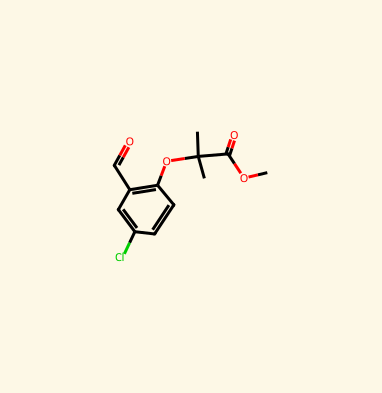 COC(=O)C(C)(C)Oc1ccc(Cl)cc1C=O